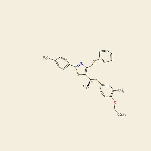 Cc1cc(S[C@@H](C)c2sc(-c3ccc(C(F)(F)F)cc3)nc2CSc2ccccc2)ccc1OCC(=O)O